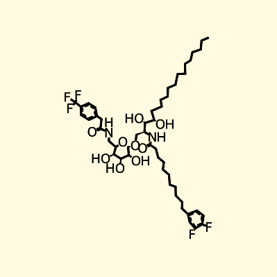 CCCCCCCCCCCCCC[C@@H](O)[C@@H](O)[C@H](CO[C@H]1OC(CNC(=O)Cc2ccc(C(F)(F)F)cc2)[C@H](O)[C@H](O)C1O)NC(=O)CCCCCCCCCCc1ccc(F)c(F)c1